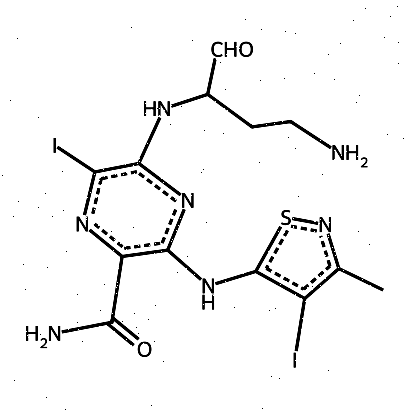 Cc1nsc(Nc2nc(NC(C=O)CCN)c(I)nc2C(N)=O)c1I